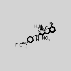 Cc1c(Br)cccc1Cc1nc(N)nc(NC[C@H]2CC[C@H](NCC(F)(F)F)CC2)c1[N+](=O)[O-]